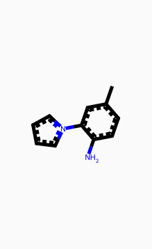 Cc1ccc(N)c(-n2cccc2)c1